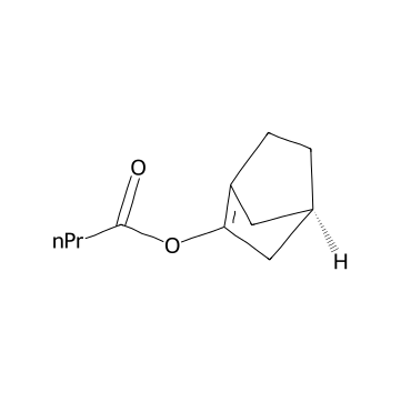 CCCC(=O)OC1=C2CC[C@H](C2)C1